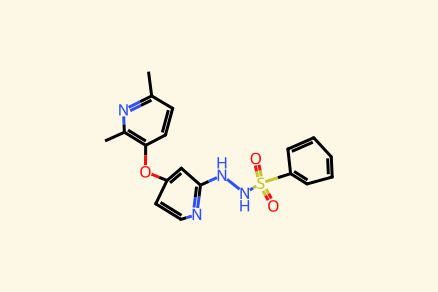 Cc1ccc(Oc2ccnc(NNS(=O)(=O)c3ccccc3)c2)c(C)n1